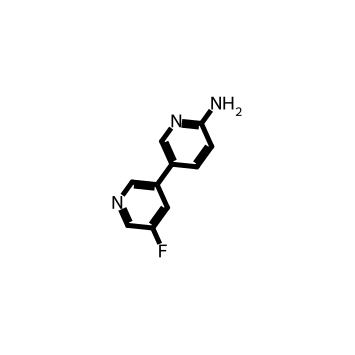 Nc1ccc(-c2cncc(F)c2)cn1